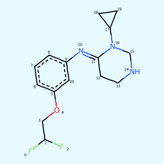 FC(F)COc1cccc(N=C2CCNCN2C2CC2)c1